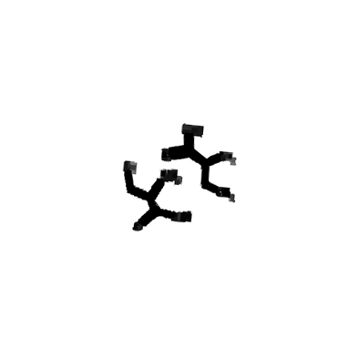 CCC(N)C(=O)O.NC(CS)C(=O)O